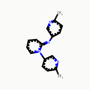 FC(F)(F)c1ccc(/N=c2\ccccn2-c2ccc(C(F)(F)F)nc2)cn1